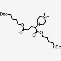 CCCCCCCCCCCCCCOC(=O)CCC(C(=O)OCCCCCCCCCCCCCC)N1CCS(C)(C)CC1